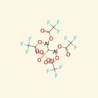 O=C([O][Al]([O]C(=O)C(F)(F)F)[CH]([Al]([O]C(=O)C(F)(F)F)[O]C(=O)C(F)(F)F)P(=O)(O)O)C(F)(F)F